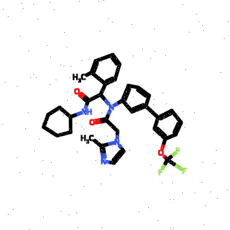 Cc1ccccc1C(C(=O)NC1CCCCC1)N(C(=O)Cn1ccnc1C)c1cccc(-c2cccc(OC(F)(F)F)c2)c1